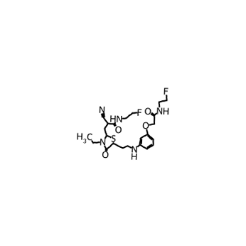 CCN1C(=O)C(CCNc2cccc(OCC(=O)NCCF)c2)SC1CC(C#N)C(=O)NCCF